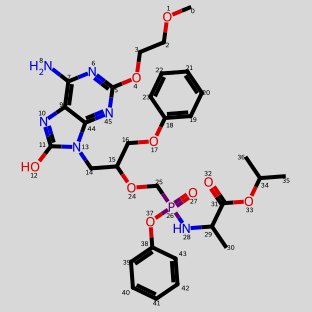 COCCOc1nc(N)c2nc(O)n(CC(COc3ccccc3)OCP(=O)(NC(C)C(=O)OC(C)C)Oc3ccccc3)c2n1